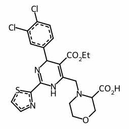 CCOC(=O)C1=C(CN2CCOCC2C(=O)O)NC(c2nccs2)=NC1c1ccc(Cl)c(Cl)c1